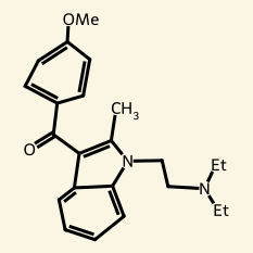 CCN(CC)CCn1c(C)c(C(=O)c2ccc(OC)cc2)c2ccccc21